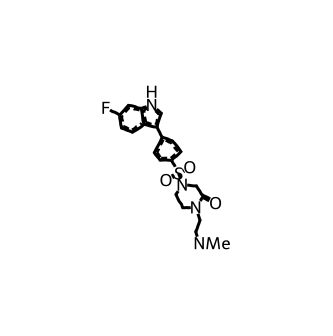 CNCCN1CCN(S(=O)(=O)c2ccc(-c3c[nH]c4cc(F)ccc34)cc2)CC1=O